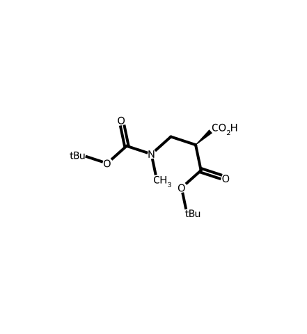 CN(C[C@@H](C(=O)O)C(=O)OC(C)(C)C)C(=O)OC(C)(C)C